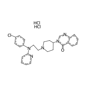 Cl.Cl.O=c1c2ccccc2ncn1C1CCN(CCN(c2ccc(Cl)cc2)c2ccccn2)CC1